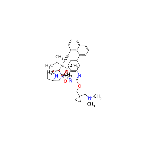 CC(C)[Si](C#Cc1cccc2cccc(C3CCc4c(nc(OCC5(CN(C)C)CC5)nc4N4CC5CCC(C4)N5C(=O)O)C3)c12)(C(C)C)C(C)C